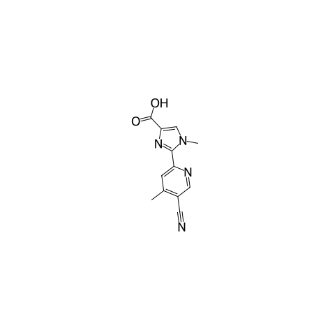 Cc1cc(-c2nc(C(=O)O)cn2C)ncc1C#N